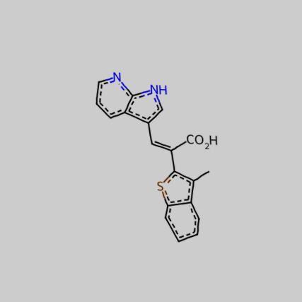 Cc1c(/C(=C/c2c[nH]c3ncccc23)C(=O)O)sc2ccccc12